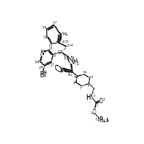 CC(C)(C)OC(=O)NCC1CCC(C(=O)N[C@@H](Cc2ccccc2)c2cncc(Br)c2)CC1